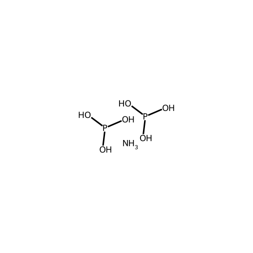 N.OP(O)O.OP(O)O